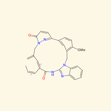 C=C1/C=C(\C=C/C)C(=O)Nc2nc3ccccc3n2Cc2cc(ccc2OC)-c2ccc(=O)n(n2)C1